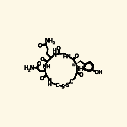 NC(=O)CCC1NC(=O)CNC(=O)[C@H](Cc2ccc(O)cc2)NC(=O)CCSSCCNC(=O)C(CC(N)=O)NC1=O